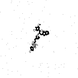 COc1ccc(S(=O)(=O)NC(=O)CCc2ccn(C[C@H](CC3Cc4ccccc4C3)[C@H](O)c3cc(OC)c(C)c(OC)c3)c2)cc1